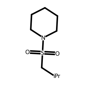 CC(C)CS(=O)(=O)N1CCCCC1